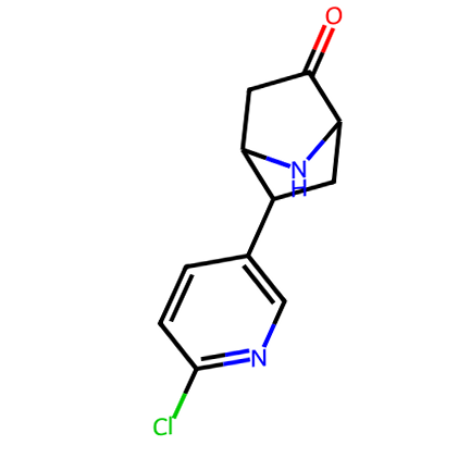 O=C1CC2NC1CC2c1ccc(Cl)nc1